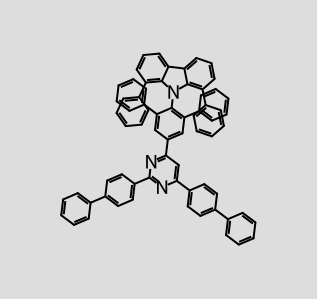 c1ccc(-c2ccc(-c3cc(-c4cc(-c5ccccc5)c(-n5c6c(-c7ccccc7)cccc6c6cccc(-c7ccccc7)c65)c(-c5ccccc5)c4)nc(-c4ccc(-c5ccccc5)cc4)n3)cc2)cc1